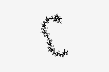 COC(=O)c1c(C)[nH]c2c1[C@@]13C[C@@H]1CN(C(=O)/C=C/c1cc(NC(=O)c4cc(NC(=O)c5nc(NC(=O)CCCNC(=O)c6cc(NC(=O)c7cc(NC(=O)c8nc(NC(=O)c9nc(NC(C)=O)cn9C)cn8C)cn7C)cn6C)cn5C)cn4C)cn1C)C3=CC2=O